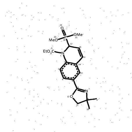 CCOC(=O)N1c2ccc(C3=NC(C)(C)CO3)cc2C=CC1P(=O)(OC)OC